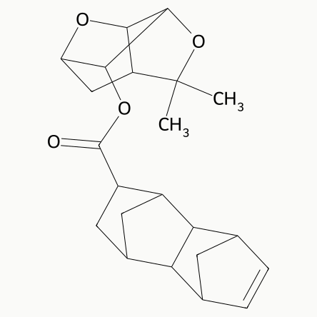 CC1(C)OC2C(OC(=O)C3CC4CC3C3C5C=CC(C5)C43)C3CC1C2O3